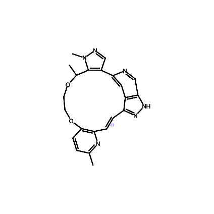 Cc1ccc2c(n1)/C=C/c1n[nH]c3cnc(cc13)-c1cnn(C)c1C(C)OCCO2